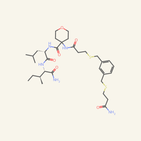 CC[C@H](C)[C@H](NC(=O)[C@H](CC(C)C)NC(=O)C1(NC(=O)CCSCc2cccc(CSCCC(N)=O)c2)CCOCC1)C(N)=O